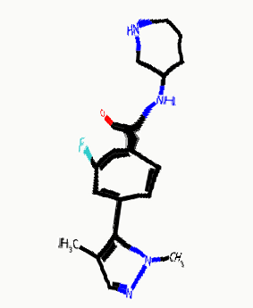 Cc1cnn(C)c1-c1ccc(C(=O)NC2CCCNC2)c(F)c1